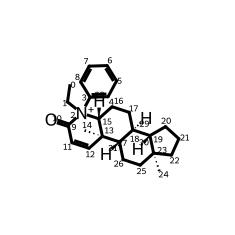 CC[N+]1(c2ccccc2)C(=O)C=C[C@@]2(C)[C@H]1CC[C@H]1[C@@H]3CCC[C@@]3(C)CC[C@@H]12